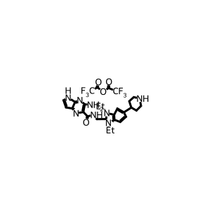 CCn1c(CNC(=O)c2nc3cc[nH]c3nc2N)[n+](CC)c2ccc(C3CCNCC3)cc21.O=C(OC(=O)C(F)(F)F)C(F)(F)F